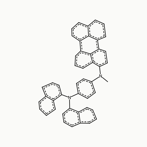 CN(c1ccc(N(c2cccc3ccccc23)c2cccc3ccccc23)cc1)c1ccc2c3cccc4cccc(c5cccc1c52)c43